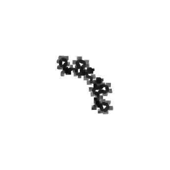 CN(N=Cc1cc[n+](C(Br)CCCC(Br)[n+]2ccc(C=NN(C)c3ccccc3)c3ccccc32)c2ccccc12)c1ccccc1